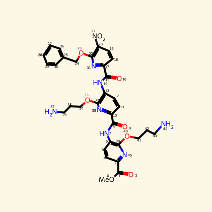 COC(=O)c1ccc(NC(=O)c2ccc(NC(=O)c3ccc([N+](=O)[O-])c(OCc4ccccc4)n3)c(OCCCN)n2)c(OCCCN)n1